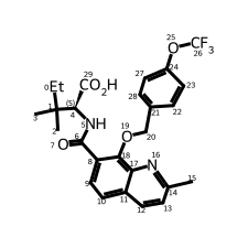 CCC(C)(C)[C@H](NC(=O)c1ccc2ccc(C)nc2c1OCc1ccc(OC(F)(F)F)cc1)C(=O)O